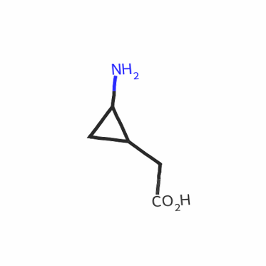 NC1CC1CC(=O)O